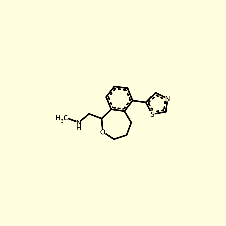 CNCC1OCCCc2c(-c3cncs3)cccc21